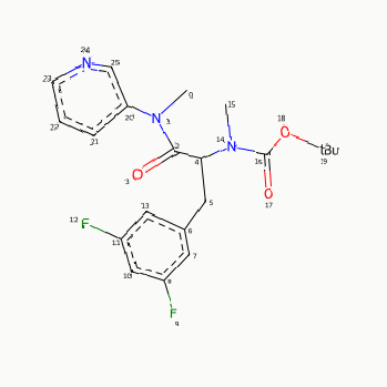 CN(C(=O)C(Cc1cc(F)cc(F)c1)N(C)C(=O)OC(C)(C)C)c1cccnc1